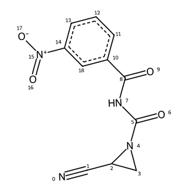 N#CC1CN1C(=O)NC(=O)c1cccc([N+](=O)[O-])c1